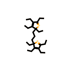 CCC1=PC(CC)(CCCC2(CC)P=C(CC)C(CC)=C2CC)C(CC)=C1CC